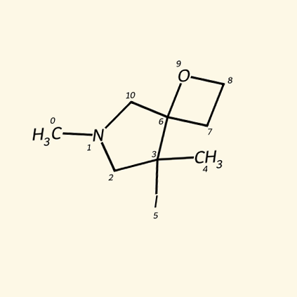 CN1CC(C)(I)C2(CCO2)C1